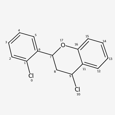 Clc1ccccc1C1CC(Cl)c2ccccc2O1